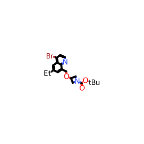 CCc1cc(COC2CN(C(=O)OC(C)(C)C)C2)c2nccc(Br)c2c1